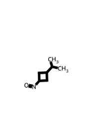 CC(C)C1CC(N=O)C1